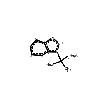 CCCCCCCC(C)(CCCCCC)n1nnc2ccccc21